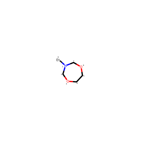 CCN1COCCOC1